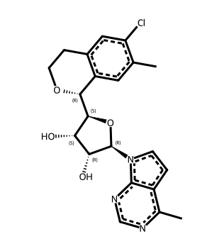 Cc1cc2c(cc1Cl)CCO[C@H]2[C@H]1O[C@@H](n2ccc3c(C)ncnc32)[C@H](O)[C@@H]1O